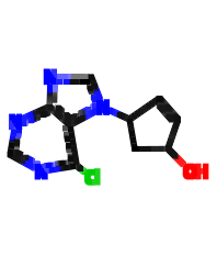 OC1C=CC(n2cnc3ncnc(Cl)c32)C1